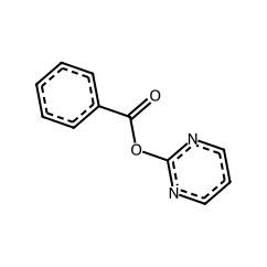 O=C(Oc1ncccn1)c1ccccc1